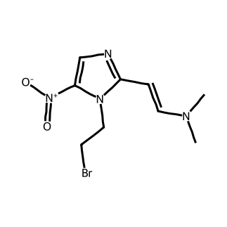 CN(C)C=Cc1ncc([N+](=O)[O-])n1CCBr